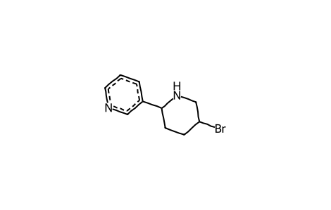 BrC1CCC(c2cccnc2)NC1